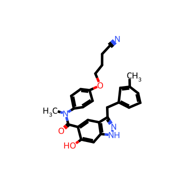 Cc1cccc(Cc2n[nH]c3cc(O)c(C(=O)N(C)c4ccc(OCCCC#N)cc4)cc23)c1